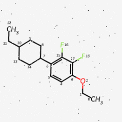 CCOc1ccc(C2CCC(CC)CC2)c(F)c1F